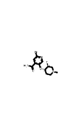 CN1CC[C@H](Oc2cnc(Br)cc2C(N)=O)[C@@H](F)C1